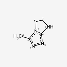 Cc1nnc2n1CCN2